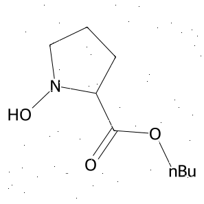 CCCCOC(=O)C1CCCN1O